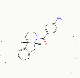 Nc1ccc(C(=O)N2CCC[C@H]3c4ccccc4C[C@H]32)cc1